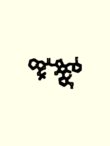 COc1cccc(-c2c(C)c(Cc3ccccc3F)c3n(c2=O)C(CNCCC2CCCCN2C(=O)OC(C)(C)C)CS3)c1F